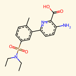 CCN(CC)S(=O)(=O)c1ccc(C)c(-c2ccc(N)c(C(=O)O)n2)c1